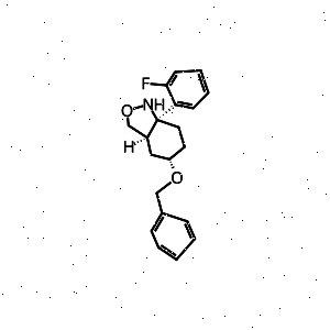 Fc1ccccc1[C@]12CC[C@H](OCc3ccccc3)C[C@H]1CON2